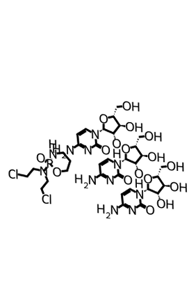 Nc1ccn([C@@H]2O[C@H](CO)[C@@H](O)[C@@H]2O)c(=O)n1.Nc1ccn([C@@H]2O[C@H](CO)[C@@H](O)[C@@H]2O)c(=O)n1.Nc1ccn([C@@H]2O[C@H](CO)[C@@H](O)[C@@H]2O)c(=O)n1.O=P1(N(CCCl)CCCl)NCCCO1